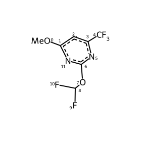 COc1[c]c(C(F)(F)F)nc(OC(F)F)n1